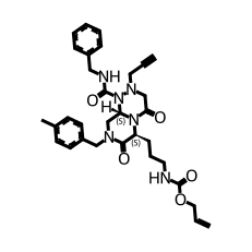 C#CCN1CC(=O)N2[C@@H](CCCNC(=O)OCC=C)C(=O)N(Cc3ccc(C)cc3)C[C@@H]2N1C(=O)NCc1ccccc1